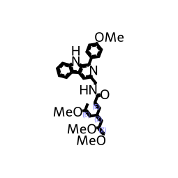 CO/C=C(/C=C(/C=C/C(=O)NCc1cc2c([nH]c3ccccc32)c(-c2ccc(OC)cc2)n1)\C=C(/C)OC)OC